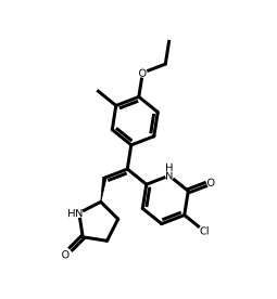 CCOc1ccc(C(=C[C@H]2CCC(=O)N2)c2ccc(Cl)c(=O)[nH]2)cc1C